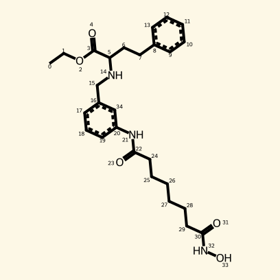 CCOC(=O)C(CCc1ccccc1)NCc1cccc(NC(=O)CCCCCCC(=O)NO)c1